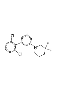 FC1(F)CCCN(c2c[c]cc(-c3c(Cl)cccc3Cl)c2)C1